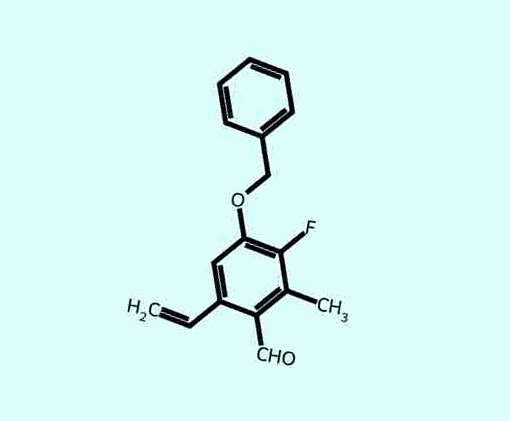 C=Cc1cc(OCc2ccccc2)c(F)c(C)c1C=O